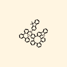 CC1(C)c2ccccc2-c2ccc(N(c3ccc4c5ccccc5c5ccccc5c5ccccc5c5c(ccc6c7ccccc7oc65)c4c3)c3cccc4c3Oc3ccccc3-c3ccccc3-4)cc21